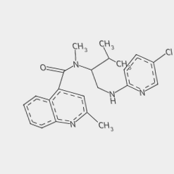 Cc1cc(C(=O)N(C)C(CNc2ccc(Cl)cn2)C(C)C)c2ccccc2n1